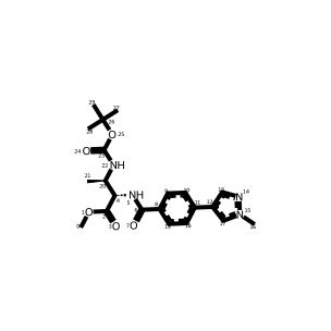 COC(=O)[C@@H](NC(=O)c1ccc(-c2cnn(C)c2)cc1)[C@@H](C)NC(=O)OC(C)(C)C